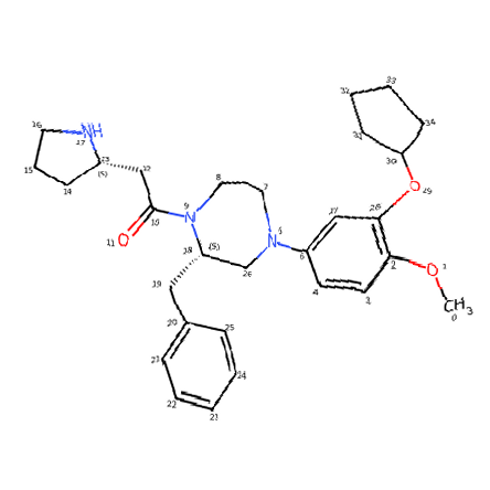 COc1ccc(N2CCN(C(=O)C[C@@H]3CCCN3)[C@@H](Cc3ccccc3)C2)cc1OC1CCCC1